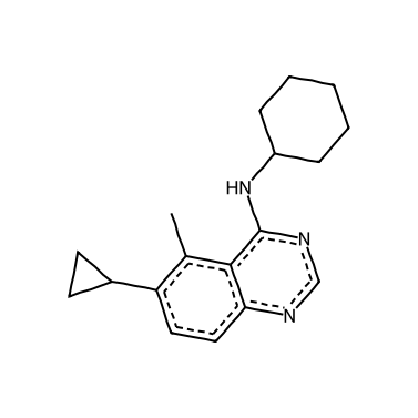 Cc1c(C2CC2)ccc2ncnc(NC3CCCCC3)c12